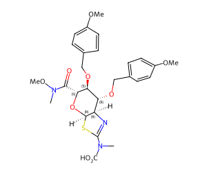 COc1ccc(CO[C@@H]2[C@H]3N=C(N(C)C(=O)O)S[C@H]3O[C@H](C(=O)N(C)OC)[C@H]2OCc2ccc(OC)cc2)cc1